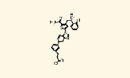 C[C@@H](Cc1cc(-n2cnc3c2C=CC(c2cccc(CCC(=O)O)c2)C3)sc1C(N)=O)c1ccccc1Cl